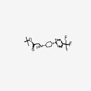 CC(C)(C)OC(=O)CNC1CCN(c2ncc(C(F)(F)F)cn2)CC1